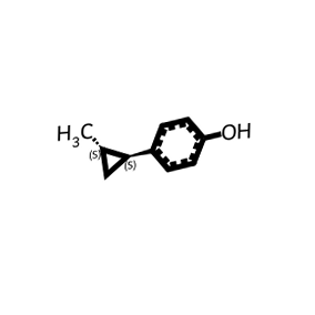 C[C@H]1C[C@@H]1c1ccc(O)cc1